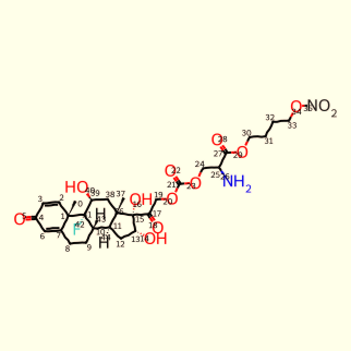 C[C@]12C=CC(=O)C=C1CC[C@H]1[C@@H]3C[C@@H](O)[C@](O)(C(=O)COC(=O)OCC(N)C(=O)OCCCCO[N+](=O)[O-])[C@@]3(C)C[C@H](O)[C@@]12F